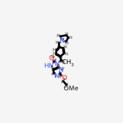 COCCOc1ncc2[nH]c(=O)n(C(C)c3ccc(CN4CCCC4)cc3)c2n1